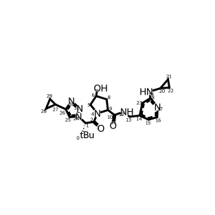 CC(C)(C)[C@@H](C(=O)N1CC(O)CC1C(=O)NCc1ccnc(NC2CC2)c1)n1cc(C2CC2)nn1